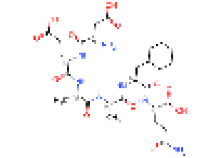 C[C@H](NC(=O)[C@H](C)NC(=O)[C@H](CCC(=O)O)NC(=O)[C@@H](N)CC(=O)O)C(=O)N[C@@H](CC1CCCCC1)C(=O)N[C@@H](CCC(N)=O)C(=O)O